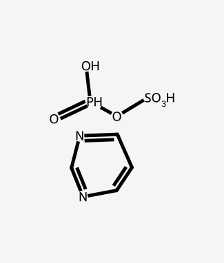 O=[PH](O)OS(=O)(=O)O.c1cncnc1